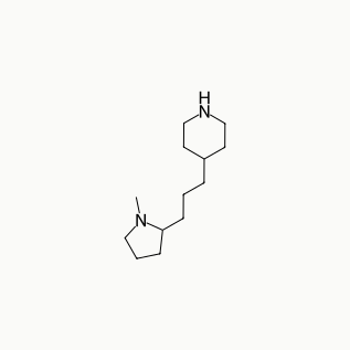 CN1CCCC1CCCC1CCNCC1